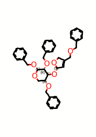 C1=C(COCc2ccccc2)CO[C@H]1O[C@@H]1[C@@H](OCc2ccccc2)[C@@H](OCc2ccccc2)OC[C@H]1OCc1ccccc1